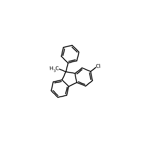 CC1(c2ccccc2)c2ccccc2-c2ccc(Cl)cc21